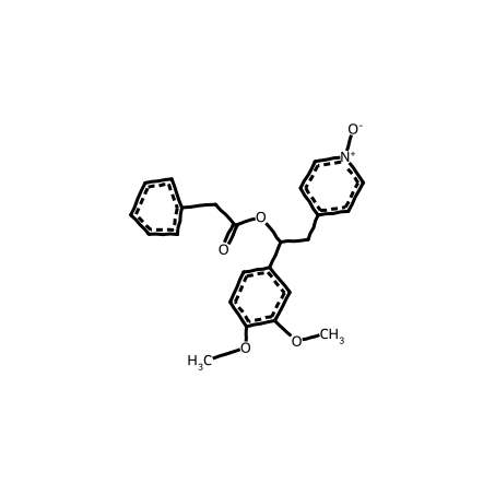 COc1ccc(C(Cc2cc[n+]([O-])cc2)OC(=O)Cc2ccccc2)cc1OC